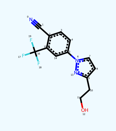 N#Cc1ccc(-n2ccc(CCO)n2)cc1C(F)(F)F